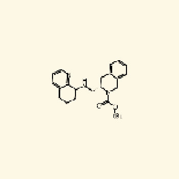 CC(C)(C)OC(=O)N1Cc2ccccc2C[C@H]1CNC1CCCc2cccnc21